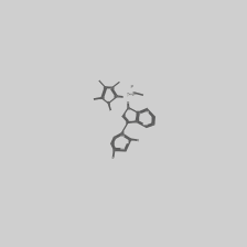 CC1=C(C)C(C)[C]([Zr]([CH]2C=C(c3ccc(F)cc3F)c3ccccc32)=[Si](C)C)=C1C